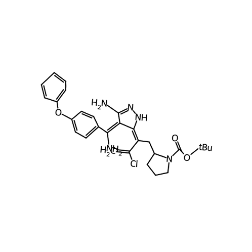 C=C(Cl)/C(CC1CCCN1C(=O)OC(C)(C)C)=c1/[nH]nc(N)/c1=C(/N)c1ccc(Oc2ccccc2)cc1